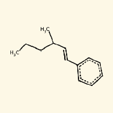 CC[CH]C(C)C=Cc1ccccc1